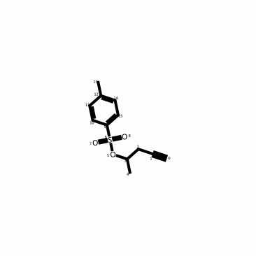 C#CCC(C)OS(=O)(=O)c1ccc(C)cc1